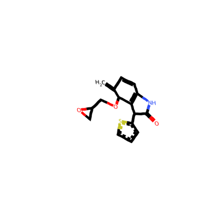 C=C1C=CC2=C(C1OCC1CO1)C(c1cccs1)C(=O)N2